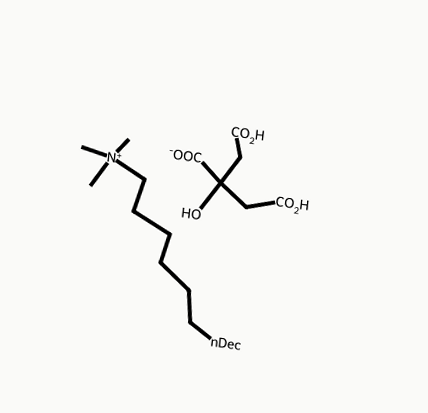 CCCCCCCCCCCCCCCC[N+](C)(C)C.O=C(O)CC(O)(CC(=O)O)C(=O)[O-]